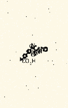 Cc1noc(-c2ccc(-c3ccc(C4(C(=O)O)CC4)cc3)cc2)c1C(NS(C)(=O)=O)c1cn(Cc2ccccc2)nn1